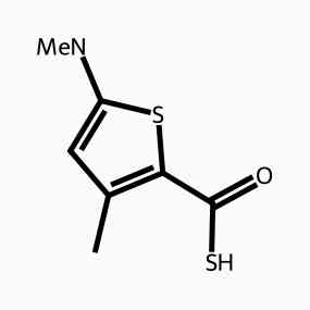 CNc1cc(C)c(C(=O)S)s1